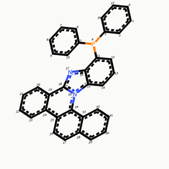 c1ccc(P(c2ccccc2)c2cccc3c2nc2c4ccccc4c4ccc5ccccc5c4n32)cc1